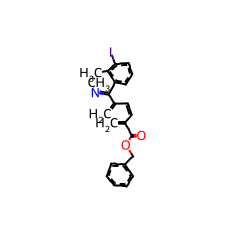 C=C(/C=C\C(=C)/C(=N/C)c1cccc(I)c1C)C(=O)OCc1ccccc1